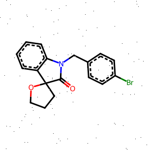 O=C1N(Cc2ccc(Br)cc2)c2ccccc2C12CCCO2